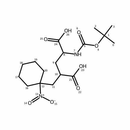 CC(C)(C)OC(=O)NC(CC(CC1([N+](=O)[O-])CCCCC1)C(=O)O)C(=O)O